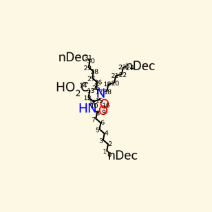 CCCCCCCCCCCCCCCCCC(=O)NC(CCC(=O)O)C(=O)N(CCCCCCCCCCCCCCCC)CCCCCCCCCCCCCCCC